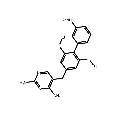 CCOc1cc(Cc2cnc(N)nc2N)cc(OCC)c1-c1cccc(NC(C)=O)c1